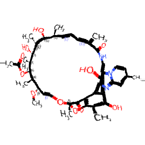 CO[C@H]1/C=C/O[C@@]2(C)Oc3c(C)c(O)c4c(O)c(c5c(nc6cc(C)ccn65)c4c3C2=O)NC(=O)/C(C)=C/C=C/[C@H](C)[C@H](O)[C@@H](C)[C@@H](O)[C@@H](C)[C@H](OC(C)=O)[C@@H]1C